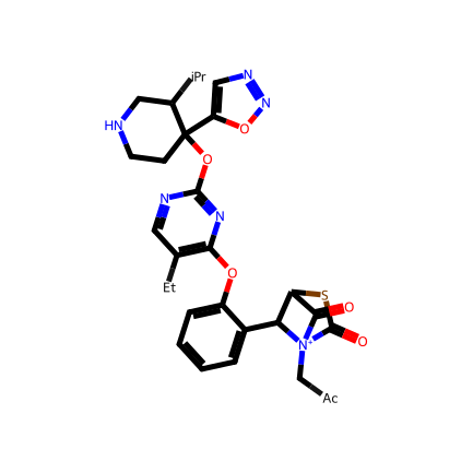 CCc1cnc(OC2(c3cnno3)CCNCC2C(C)C)nc1Oc1ccccc1C1C2SC(=O)[N+]1(CC(C)=O)C2=O